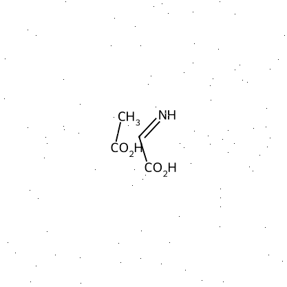 CC(=O)O.N=CC(=O)O